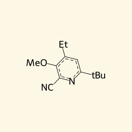 CCc1cc(C(C)(C)C)nc(C#N)c1OC